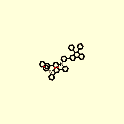 c1ccc(-c2c(-c3ccccc3)c3cc(-c4cccc(N(c5ccc(-c6ccc7ccccc7c6)cc5)c5ccccc5-c5ccc6c(c5)c5ccccc5n6-c5ccccc5)c4)ccc3c3ccccc23)cc1